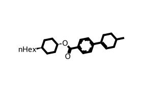 CCCCCC[C@H]1CC[C@H](OC(=O)c2ccc(C3=CCC(C)CC3)cc2)CC1